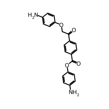 Nc1ccc(OCC(=O)c2ccc(C(=O)Oc3ccc(N)cc3)cc2)cc1